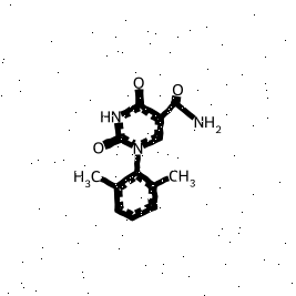 Cc1cccc(C)c1-n1cc(C(N)=O)c(=O)[nH]c1=O